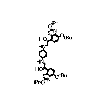 CC(C)Oc1nc2c(OC(C)(C)C)ccc([C@@H](O)CNC3CCC(NC[C@H](O)c4ccc(OC(C)(C)C)c5nc(OC(C)C)sc45)CC3)c2s1